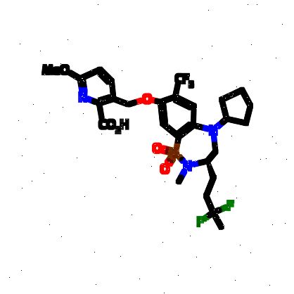 COc1ccc(COc2cc3c(cc2C(F)(F)F)N(C2CCCC2)C[C@@H](CCC(C)(F)F)N(C)S3(=O)=O)c(C(=O)O)n1